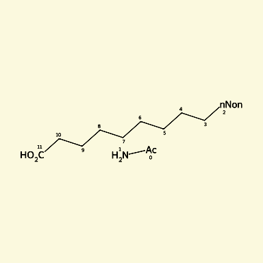 CC(N)=O.CCCCCCCCCCCCCCCCCC(=O)O